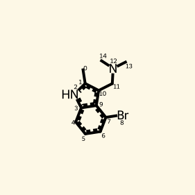 Cc1[nH]c2cccc(Br)c2c1CN(C)C